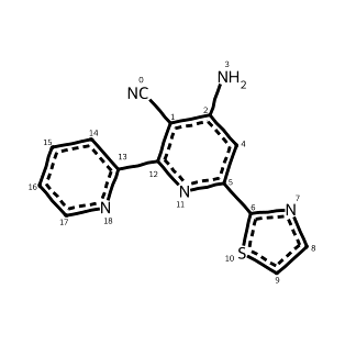 N#Cc1c(N)cc(-c2nccs2)nc1-c1ccccn1